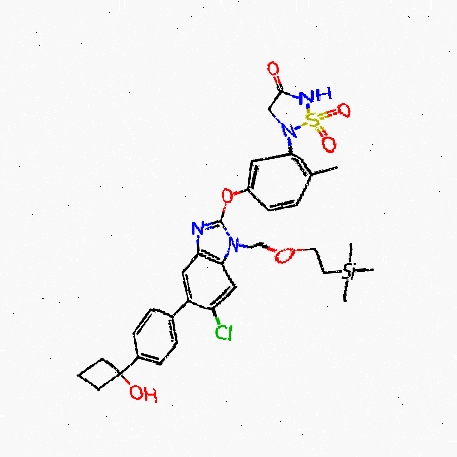 Cc1ccc(Oc2nc3cc(-c4ccc(C5(O)CCC5)cc4)c(Cl)cc3n2COCC[Si](C)(C)C)cc1N1CC(=O)NS1(=O)=O